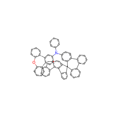 c1ccc(N(c2ccc3c(c2)-c2ccccc2Oc2ccccc2-3)c2ccc3c(c2)C2(c4ccccc4-c4ccccc4-3)c3ccccc3-c3c2ccc2c3-c3ccccc3C2)cc1